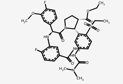 CCOC(=O)[C@H]1CCN(C(=O)[C@@H](Nc2cc(C(N)=O)ccc2F)c2ccc(F)c(OC)c2)[C@H]1c1cc(NC(=O)N(C)C)ccc1S(=O)(=O)CC